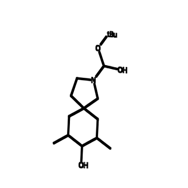 CC1CC2(CCN(C(O)OC(C)(C)C)C2)CC(C)C1O